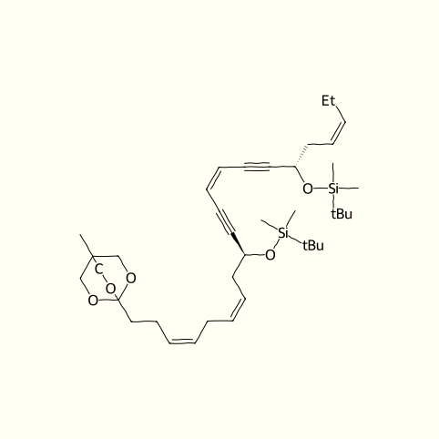 CC/C=C\C[C@@H](C#C/C=C\C#C[C@H](C/C=C\C/C=C\CCC12OCC(C)(CO1)CO2)O[Si](C)(C)C(C)(C)C)O[Si](C)(C)C(C)(C)C